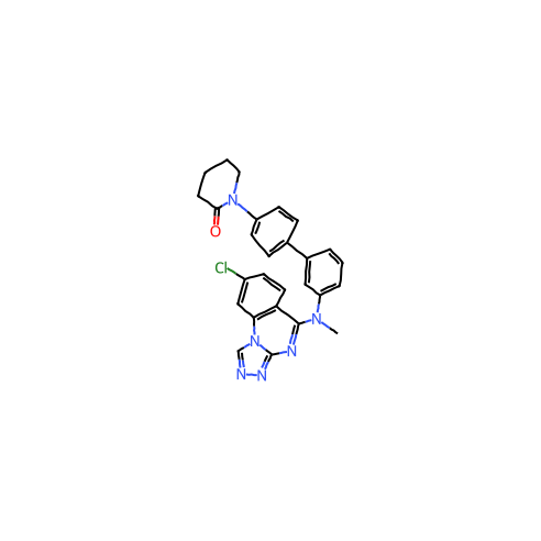 CN(c1cccc(-c2ccc(N3CCCCC3=O)cc2)c1)c1nc2nncn2c2cc(Cl)ccc12